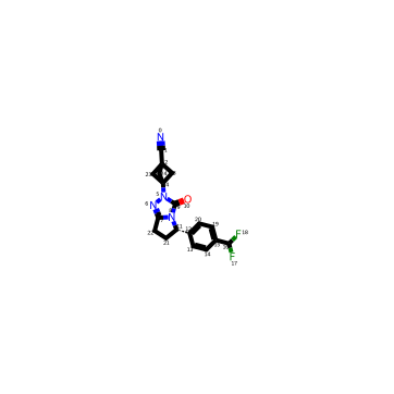 N#CC12CC(n3nc4n(c3=O)[C@H](c3ccc(C(F)F)cc3)CC4)(C1)C2